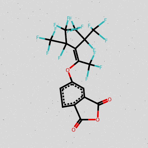 O=C1OC(=O)c2cc(OC(=C(C(F)(C(F)(F)F)C(F)(F)F)C(F)(C(F)(F)F)C(F)(F)F)C(F)(F)F)ccc21